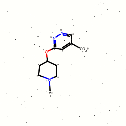 CC(=O)N1CCC(Oc2cc(C(=O)O)cnn2)CC1